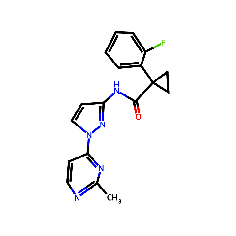 Cc1nccc(-n2ccc(NC(=O)C3(c4ccccc4F)CC3)n2)n1